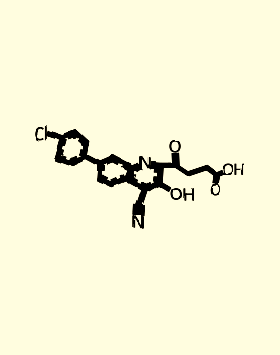 N#Cc1c(O)c(C(=O)CCC(=O)O)nc2cc(-c3ccc(Cl)cc3)ccc12